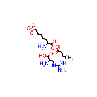 CCCC(=O)O.N=C(N)NCC(N)C(=O)O.NC(CCCCCS(=O)(=O)O)C(=O)O